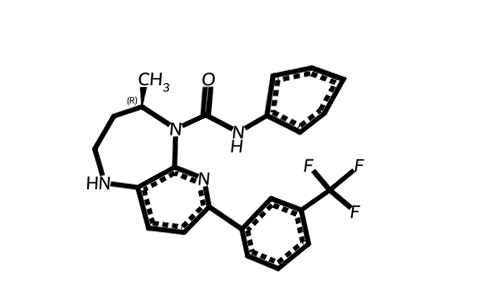 C[C@@H]1CCNc2ccc(-c3cccc(C(F)(F)F)c3)nc2N1C(=O)Nc1ccccc1